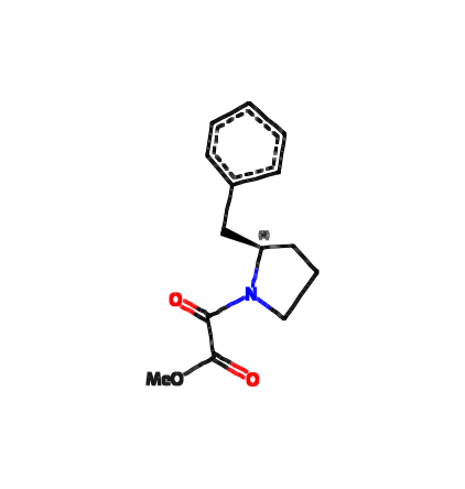 COC(=O)C(=O)N1CCC[C@@H]1Cc1ccccc1